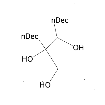 CCCCCCCCCCC(O)C(O)(CO)CCCCCCCCCC